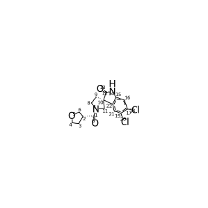 O=C([C@@H]1CCOC1)N1CC[C@]2(C1)C(=O)Nc1cc(Cl)c(Cl)cc12